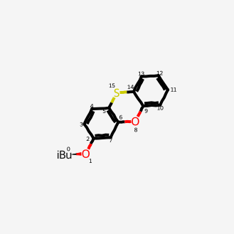 CC[C@H](C)Oc1ccc2c(c1)Oc1ccccc1S2